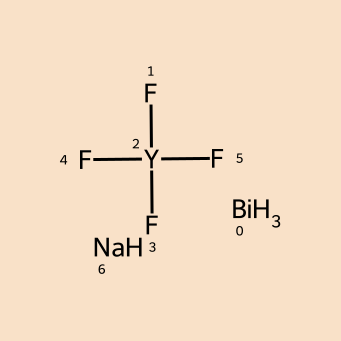 [BiH3].[F][Y]([F])([F])[F].[NaH]